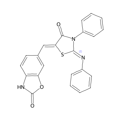 O=C1C(=Cc2ccc3[nH]c(=O)oc3c2)S/C(=N\c2ccccc2)N1c1ccccc1